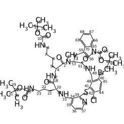 CN1C(=O)[C@H](CCCCNC(=O)OC(C)(C)C)NC(=O)[C@H](CCCNC(=O)OC(C)(C)C)NCc2cccnc2Sc2c(Cl)ccc(Br)c2CNC(=O)[C@@H]1Cc1cn(C(=O)OC(C)(C)C)c2ccccc12